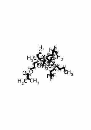 C=C(C)C(=O)OCCC[Si](C)(C)C(C)(CC)O[Si](C)(CCC(F)(F)F)[C@@](C)(CC)O[Si](C)(CCCC)CCC(F)(F)F